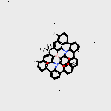 Cc1cc2c3c(c1)N(c1c(-c4ccccc4)cccc1-c1ccc(C(F)(F)F)cc1)c1cccc4c1B3c1c(cccc1[Si]4(C)C)N2c1c(-c2ccccc2)cccc1-c1ccc(C(F)(F)F)cc1